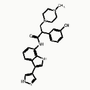 CN1CCN(CC(C(=O)Nc2cccc3c(-c4cn[nH]c4)c[nH]c23)c2cccc(C#N)c2)CC1